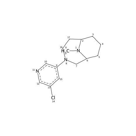 CN1C2CCCC1CN(c1cncc(Cl)c1)CC2